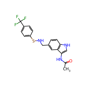 CC(=O)Nc1c[nH]c2ccc(CNSc3ccc(C(F)(F)F)cc3)cc12